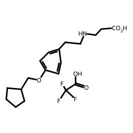 O=C(O)C(F)(F)F.O=C(O)CCNCCc1ccc(OCC2CCCC2)cc1